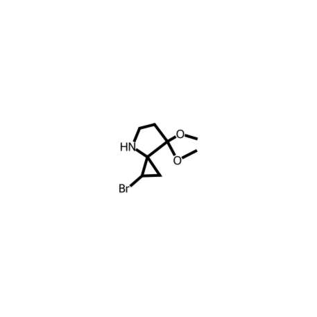 COC1(OC)CCNC12CC2Br